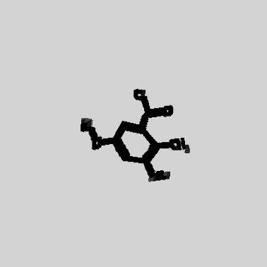 CCCCc1cc(OCC)cc(C(=O)Cl)c1C